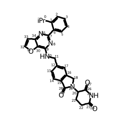 CC(C)c1ccccc1-c1nc(NCc2ccc3c(c2)CN(C2CCC(=O)NC2=O)C3=O)c2occc2n1